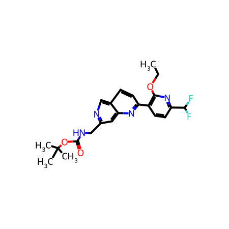 CCOc1nc(C(F)F)ccc1-c1ccc2cnc(CNC(=O)OC(C)(C)C)cc2n1